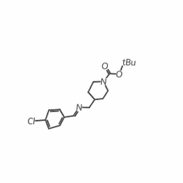 CC(C)(C)OC(=O)N1CCC(C/N=C/c2ccc(Cl)cc2)CC1